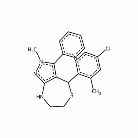 Cc1cc(Cl)ccc1C1SCCNc2nn(C)c(-c3ccccn3)c21